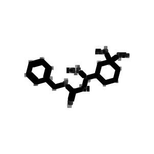 COC1(OC)CCCC(N(NC(=O)OCc2ccccc2)C(=O)O)C1